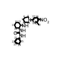 Cc1nc(N2CCC[C@H](N[C@@H]3CCCC[C@H]3NC(=O)Nc3ccccc3)C2)ccc1[N+](=O)[O-]